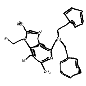 CCCCc1nc2c(N(Cc3ccccc3)Cc3ccccc3)nc(C)c(CC)c2n1CC(C)C